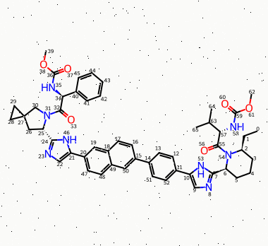 CC[C@H]1CCC[C@@H](c2ncc(-c3ccc(-c4ccc5cc(-c6cnc([C@@H]7CC8(CC8)CN7C(=O)[C@@H](NC(=O)OC)c7ccccc7)[nH]6)ccc5c4)cc3)[nH]2)N1C(=O)[C@@H](NC(=O)OC)C(C)C